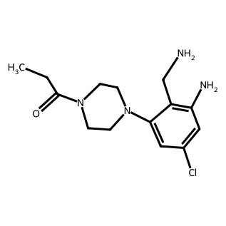 CCC(=O)N1CCN(c2cc(Cl)cc(N)c2CN)CC1